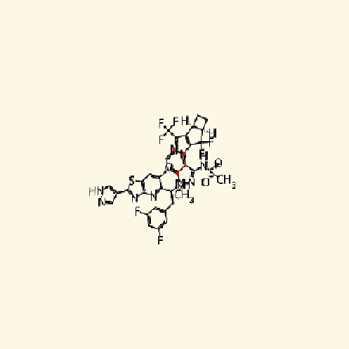 Cn1nc(NS(C)(=O)=O)c2cccc(-c3cc4sc(-c5cn[nH]c5)nc4nc3C(Cc3cc(F)cc(F)c3)NC(=O)Cn3nc(C(F)(F)F)c4c3C(F)(F)[C@@H]3CC[C@H]43)c21